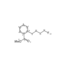 COC(=O)c1ccccc1CCCCF